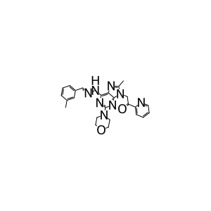 Cc1cccc(/C=N/Nc2nc(N3CCOCC3)nc3c2nc(C)n3CC(=O)c2ccccn2)c1